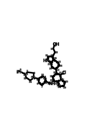 CC(C)N1CCN(c2ccc(Nc3cc(-c4ccc5c(CCO)c[nH]c5c4)c(Cl)n4ccnc34)nc2)CC1